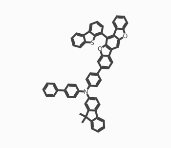 CC1(C)c2ccccc2-c2ccc(N(c3ccc(-c4ccccc4)cc3)c3ccc(-c4ccc5c(c4)oc4c(-c6cccc7c6sc6ccccc67)c6c(cc45)oc4ccccc46)cc3)cc21